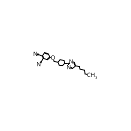 CCCCCc1cnc(C2CCC(COc3ccc(C#N)c(C#N)c3)CC2)nc1